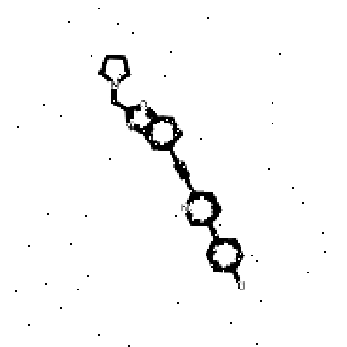 Clc1ccc(-c2ccc(C#Cc3ccc4oc(CN5CCCC5)nc4c3)nc2)cc1